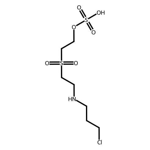 O=S(=O)(CCNCCCCl)CCOS(=O)(=O)O